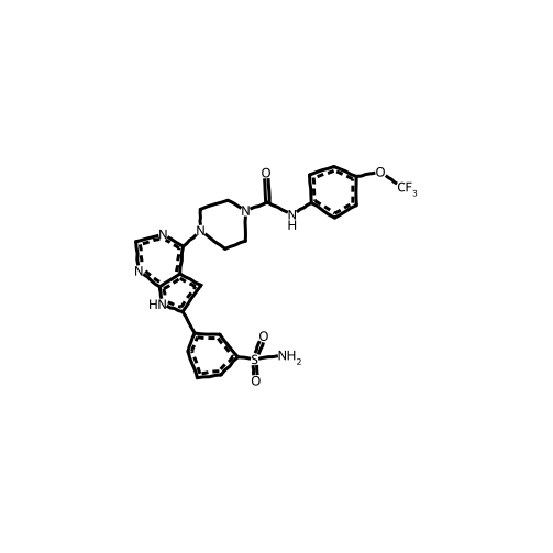 NS(=O)(=O)c1cccc(-c2cc3c(N4CCN(C(=O)Nc5ccc(OC(F)(F)F)cc5)CC4)ncnc3[nH]2)c1